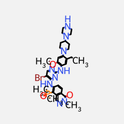 CCc1cc(Nc2ncc(Br)c(Nc3ccc4c(=O)n(C)ncc4c3P(C)(C)=O)n2)c(OC)cc1N1CCC(N2CCNCC2)CC1